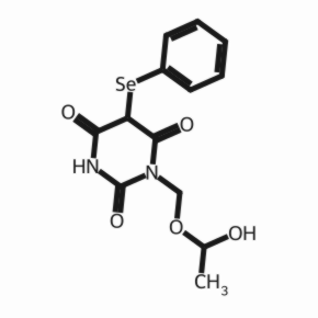 CC(O)OCN1C(=O)NC(=O)C([Se]c2ccccc2)C1=O